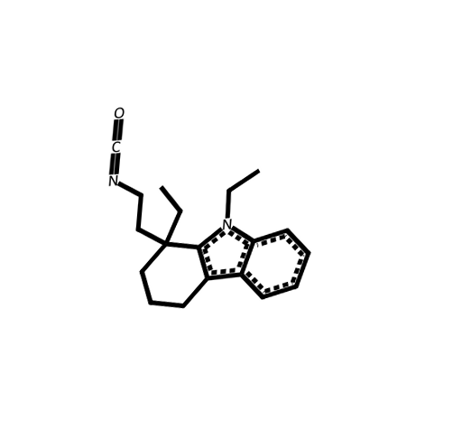 CCn1c2c(c3ccccc31)CCCC2(CC)CCN=C=O